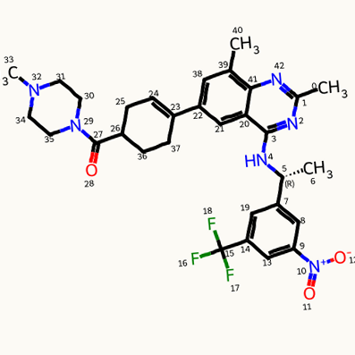 Cc1nc(N[C@H](C)c2cc([N+](=O)[O-])cc(C(F)(F)F)c2)c2cc(C3=CCC(C(=O)N4CCN(C)CC4)CC3)cc(C)c2n1